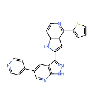 c1csc(-c2nccc3[nH]c(-c4n[nH]c5ncc(-c6ccncc6)cc45)cc23)c1